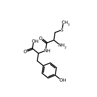 CSCC(N)C(=O)NC(Cc1ccc(O)cc1)C(=O)O